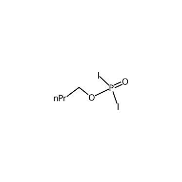 CCCCOP(=O)(I)I